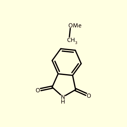 COC.O=C1NC(=O)c2ccccc21